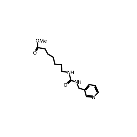 COC(=O)CCCCCCNC(=O)NCc1cccnc1